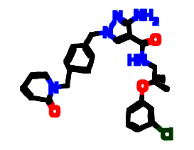 C[C@H](CNC(=O)c1cn(Cc2ccc(Cn3ccccc3=O)cc2)nc1N)Oc1cccc(Cl)c1